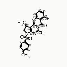 Cc1ccc(S(=O)(=O)N2CC(C)c3c2nc(Cl)n2c(=O)c4c(F)cccc4nc32)cc1